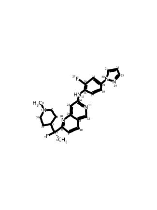 CN1CCC([C@](C)(F)c2ccc3cnc(Nc4ccc(-n5cccn5)cc4F)cc3n2)CC1